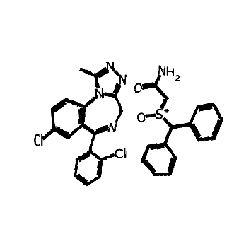 Cc1nnc2n1-c1ccc(Cl)cc1C(c1ccccc1Cl)=NC2.NC(=O)C[S+]([O-])C(c1ccccc1)c1ccccc1